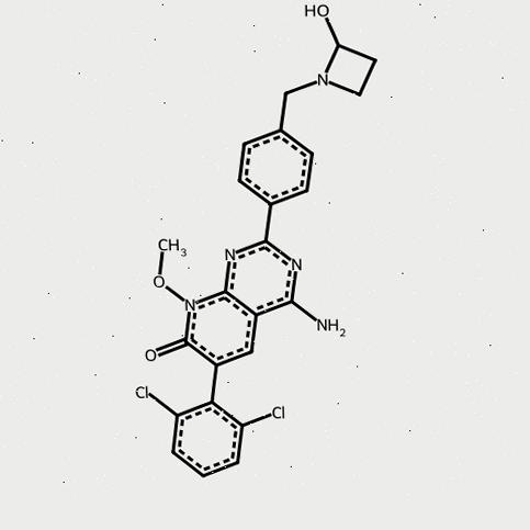 COn1c(=O)c(-c2c(Cl)cccc2Cl)cc2c(N)nc(-c3ccc(CN4CCC4O)cc3)nc21